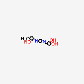 Cc1ccc(/C=N/c2ccc(/N=C/c3ccc(O)c(O)c3)cc2)cc1O